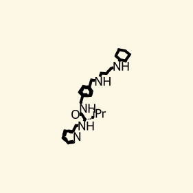 CC(C)C[C@H](NCc1ccccn1)C(=O)NCc1ccc(CNCCCNC2CCCCC2)cc1